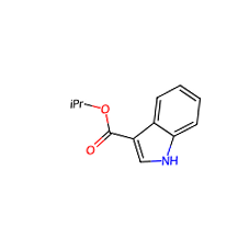 CC(C)OC(=O)c1c[nH]c2ccccc12